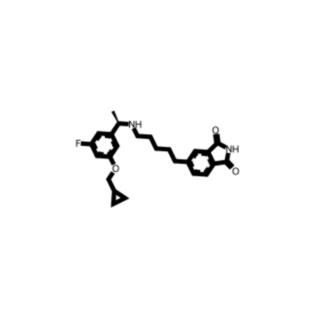 C[C@@H](NCCCCCc1ccc2c(c1)C(=O)NC2=O)c1cc(F)cc(OCC2CC2)c1